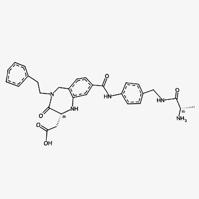 C[C@H](N)C(=O)NCc1ccc(NC(=O)c2ccc3c(c2)N[C@H](CC(=O)O)C(=O)N(CCc2ccccc2)C3)cc1